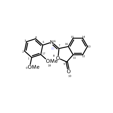 COc1cccc(/N=C2\OC(=O)c3ccccc32)c1OC